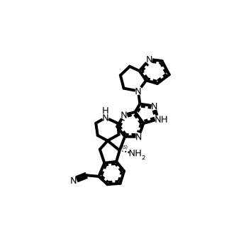 N#Cc1cccc2c1CC1(CCNCC1)[C@@]2(N)c1cnc2c(N3CCCc4ncccc43)n[nH]c2n1